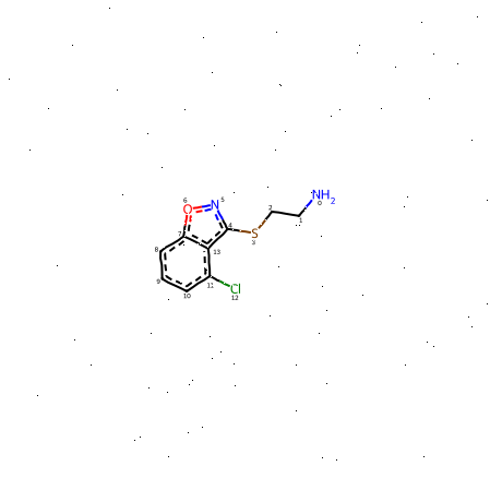 NCCSc1noc2cccc(Cl)c12